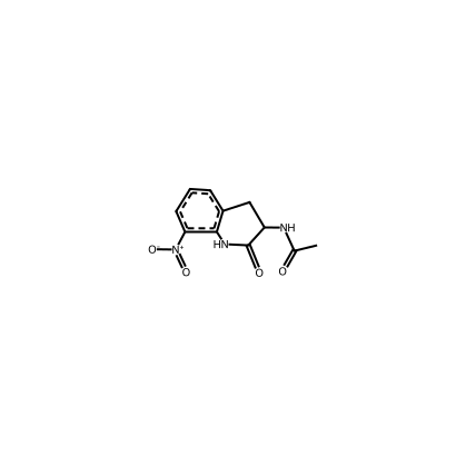 CC(=O)NC1Cc2cccc([N+](=O)[O-])c2NC1=O